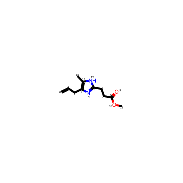 C=CCc1nc(CCC(=O)OC)[nH]c1C